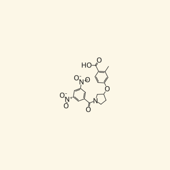 Cc1cc(OC2CCN(C(=O)c3cc([N+](=O)[O-])cc([N+](=O)[O-])c3)C2)ccc1C(=O)O